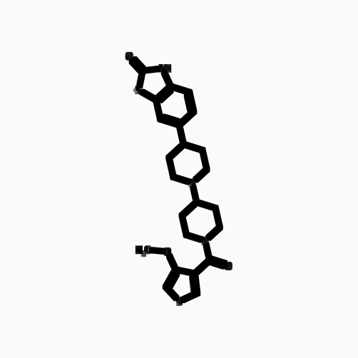 COc1cscc1C(=O)N1CCC(N2CCC(c3ccc4c(c3)[N]C(=O)N4)CC2)CC1